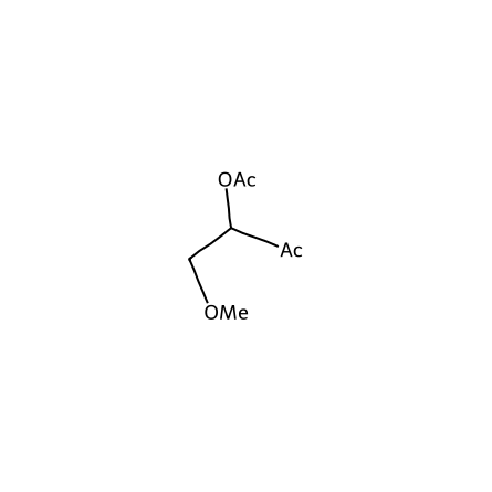 COCC(OC(C)=O)C(C)=O